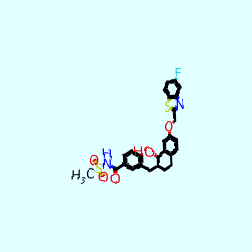 CS(=O)(=O)NC(=O)c1cccc(CC2CCc3ccc(OCc4nc5cc(F)ccc5s4)cc3C2O)c1